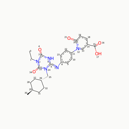 CCn1c(=O)[nH]/c(=N\c2ccc(-n3cc(C(=O)O)ccc3=O)cc2)n(C[C@H]2CC[C@H](C)CC2)c1=O